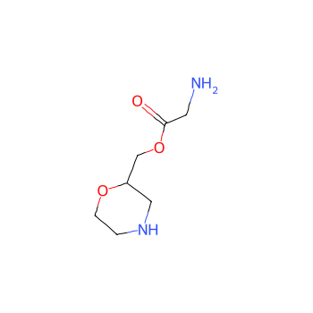 NCC(=O)OCC1CNCCO1